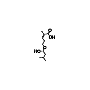 CC(=CCCOC(O)CC(C)C)C(=O)O